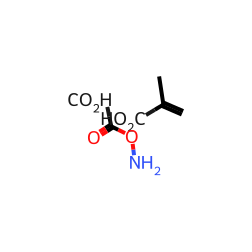 C=C(C)C(=O)O.NOC(=O)C(=O)O